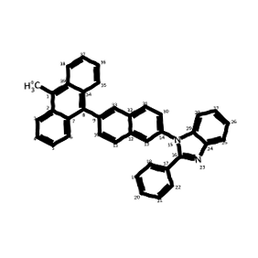 Cc1c2ccccc2c(-c2ccc3cc(-n4c(-c5ccccc5)nc5ccccc54)ccc3c2)c2ccccc12